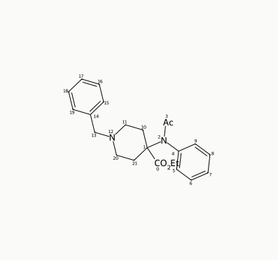 CCOC(=O)C1(N(C(C)=O)c2ccccc2)CCN(Cc2ccccc2)CC1